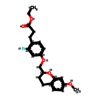 CCOC(=O)CCc1ccc(OCC2CCc3ccc(OC)cc3O2)cc1F